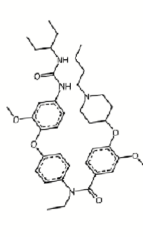 CCCCN1CCC(Oc2ccc(C(=O)N(CC)c3ccc(Oc4ccc(NC(=O)NC(CC)CC)cc4OC)cc3)cc2OC)CC1